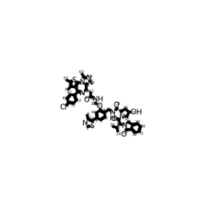 Cc1ncsc1-c1ccc(CNC(=O)[C@@H]2C[C@@H](O)CN2C(=O)[C@H](C(C)C)N2Cc3ccccc3C2=O)c(OCNC(=O)C[C@@H]2N=C(c3ccc(Cl)cc3)c3c(sc(C)c3C)-n3c(C)nnc32)c1